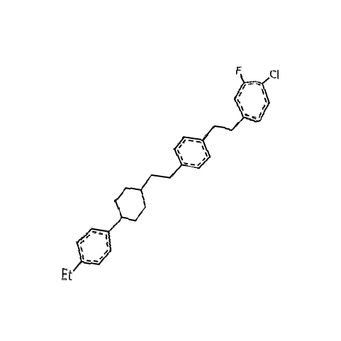 CCc1ccc(C2CCC(CCc3ccc(CCc4ccc(Cl)c(F)c4)cc3)CC2)cc1